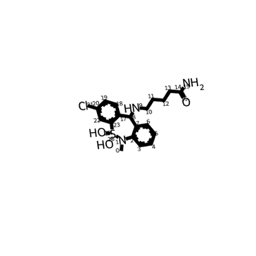 CN1c2ccccc2C(NCCCCC(N)=O)c2ccc(Cl)cc2S1(O)O